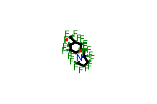 FC(F)(F)C1(F)N(C2(F)C(F)(F)C(F)(F)C(F)(C(F)(F)F)C(F)(F)C2(F)F)C(F)(F)C(F)(F)C1(F)F